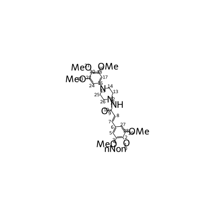 CCCCCCCCCOc1c(OC)cc(C=CC(=O)NN2CCN(c3cc(OC)c(OC)c(OC)c3)CC2)cc1OC